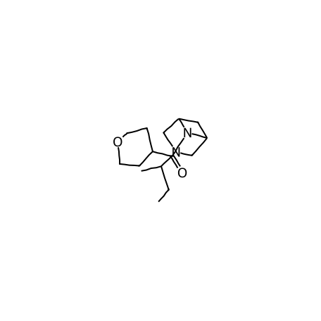 CCC(C)N1CC2CC(C1)N2C(=O)C1CCOCC1